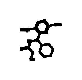 CCOC(=O)c1cnc(SC)nc1N(NC(=O)OC(C)(C)C)C1CCCCC1